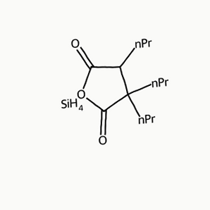 CCCC1C(=O)OC(=O)C1(CCC)CCC.[SiH4]